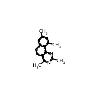 Cc1cc(C)c2c(ccc3c(C)nc(C)nc32)c1